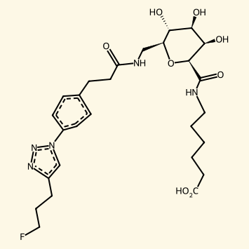 O=C(O)CCCCCNC(=O)[C@H]1O[C@@H](CNC(=O)CCc2ccc(-n3cc(CCCF)nn3)cc2)[C@H](O)[C@@H](O)[C@H]1O